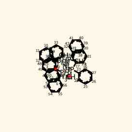 C[PH](c1ccccc1)(c1ccccc1)[Ni]([PH](C)(c1ccccc1)c1ccccc1)([PH](C)(c1ccccc1)c1ccccc1)[PH](C)(c1ccccc1)c1ccccc1